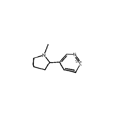 CN1CCCC1c1cc[14cH]nc1